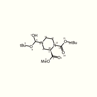 COC(=O)[C@H]1CN(C(O)OC(C)(C)C)CCN1C(=O)OC(C)(C)C